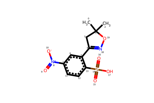 CC1(C)CC(c2cc([N+](=O)[O-])ccc2S(=O)(=O)O)=NO1